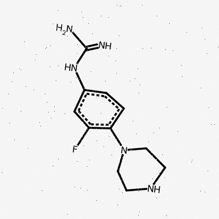 N=C(N)Nc1ccc(N2CCNCC2)c(F)c1